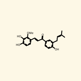 COc1c(C=CC(=O)c2ccc(O)c(CC=C(C)C)c2)ccc(O)c1O